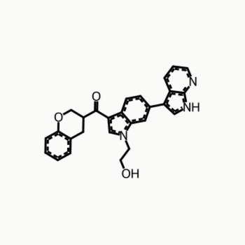 O=C(c1cn(CCO)c2cc(-c3c[nH]c4ncccc34)ccc12)C1COc2ccccc2C1